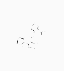 CC(Sc1ccccc1C(=O)O)c1c(-c2ccccc2)n[nH]c1Cl